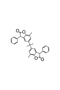 Cc1cc(C(C)(C)c2cc(C)c3c(c2)C(c2ccccc2)C(=O)O3)cc2c1OC(=O)C2c1ccccc1